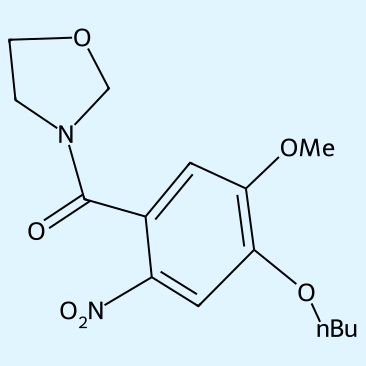 CCCCOc1cc([N+](=O)[O-])c(C(=O)N2CCOC2)cc1OC